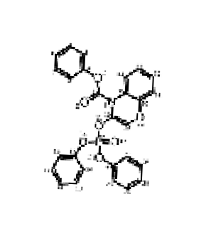 O=C(Oc1ccccc1)N1C(OP(=O)(Oc2ccccc2)Oc2ccccc2)=COc2ccccc21